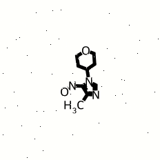 Cc1ncn(C2CCOCC2)c1N=O